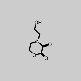 O=C1OCCN(CCO)C1=O